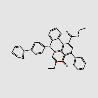 CCOC(=O)c1cc(-c2ccccc2N(c2ccccc2)c2ccc(-c3ccccc3)cc2)c(C(=O)OCC)cc1-c1ccccc1